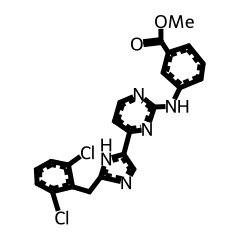 COC(=O)c1cccc(Nc2nccc(-c3cnc(Cc4c(Cl)cccc4Cl)[nH]3)n2)c1